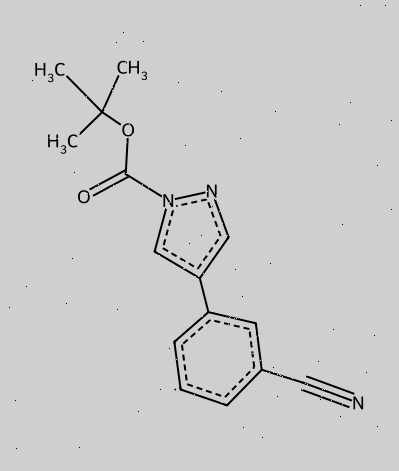 CC(C)(C)OC(=O)n1cc(-c2c[c]cc(C#N)c2)cn1